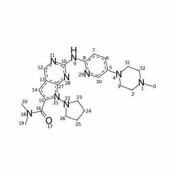 CN1CCN(c2ccc(Nc3ncc4cc(C(=O)N(C)C)n(N5CCCC5)c4n3)nc2)CC1